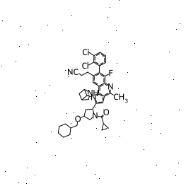 Cc1nc2c(F)c(-c3cccc(Cl)c3Cl)c(CCC#N)cc2c2c1cc(C1CC(OCC3CCCCC3)CN1C(=O)C1CC1)n2C1C2CNC1C2